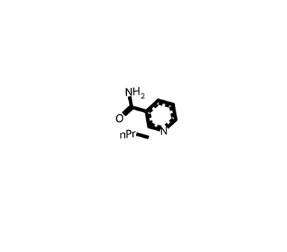 CCCC.NC(=O)c1cccnc1